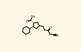 N#CCC(=O)CCC1C[C@@H](C(=O)O)[C@H](C2CCCCC2)C1